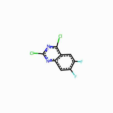 Fc1cc2nc(Cl)nc(Cl)c2cc1F